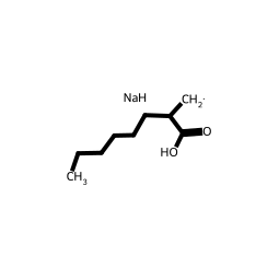 [CH2]C(CCCCCC)C(=O)O.[NaH]